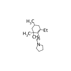 CCC1=C(C=CN2CCCC2)C(C)(C)CC(C)C1